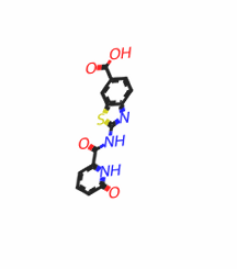 O=C(O)c1ccc2nc(NC(=O)c3cccc(=O)[nH]3)sc2c1